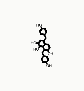 OC1=CCC(Cc2c(O)ccc3c(Cc4ccc(O)cc4)cc(O)c(O)c23)C=C1